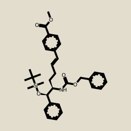 COC(=O)c1ccc(/C=C/CC[C@@H](NC(=O)OCc2ccccc2)[C@H](O[Si](C)(C)C(C)(C)C)c2ccccc2)cc1